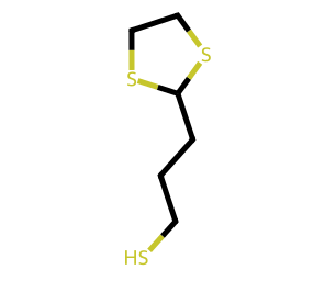 SCCCC1SCCS1